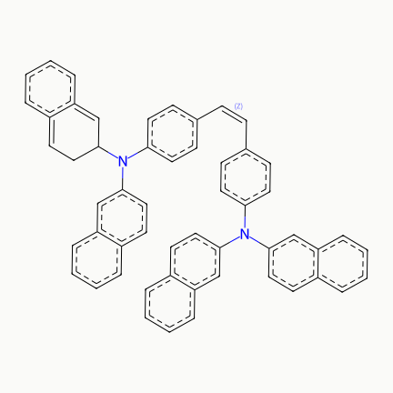 C1=c2ccccc2=CC(N(c2ccc(/C=C\c3ccc(N(c4ccc5ccccc5c4)c4ccc5ccccc5c4)cc3)cc2)c2ccc3ccccc3c2)C1